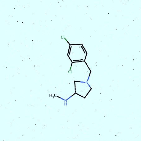 CNC1CCN(Cc2ccc(Cl)cc2Cl)C1